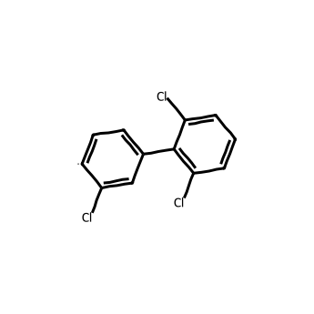 Clc1[c]ccc(-c2c(Cl)cccc2Cl)c1